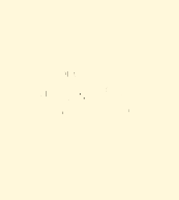 CCCc1cccc(N(CC=O)C(=O)CCl)c1C